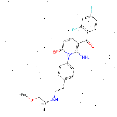 C[C@@H](COC(C)(C)C)NCCc1ccc(-n2c(N)c(C(=O)c3ccc(F)cc3F)ccc2=O)cc1